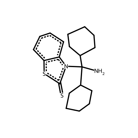 NC(C1CCCCC1)(C1CCCCC1)n1c(=S)sc2ccccc21